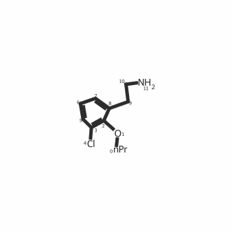 CCCOc1c(Cl)cccc1CCN